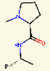 CC(C)[C@@H](C)NC(=O)[C@@H]1CCCN1C